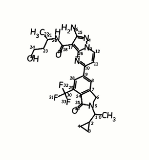 CC(C1CC1)N1Cc2cc(-c3ccn4nc(N)c(C(=O)N[C@H](C)CCO)c4n3)cc(C(F)(F)F)c2C1=O